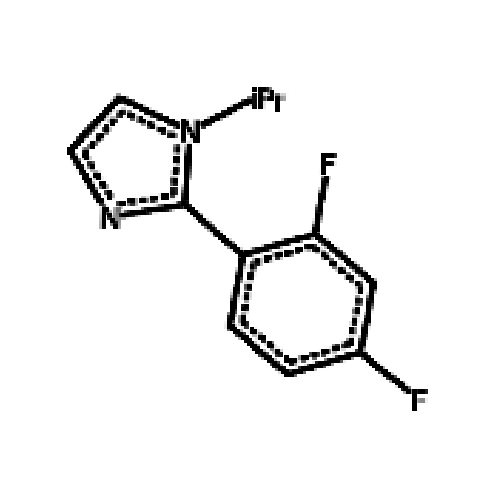 CC(C)n1ccnc1-c1ccc(F)cc1F